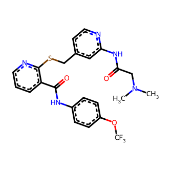 CN(C)CC(=O)Nc1cc(CSc2ncccc2C(=O)Nc2ccc(OC(F)(F)F)cc2)ccn1